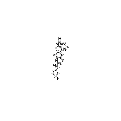 CN(Cc1cccc(F)c1)c1cnc2cc(-c3ncnc4[nH]ncc34)ccc2n1